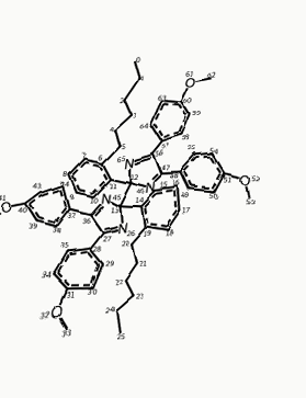 CCCCCCc1ccccc1C1(C2(c3ccccc3CCCCCC)N=C(c3ccc(OC)cc3)C(c3ccc(OC)cc3)=N2)N=C(c2ccc(OC)cc2)C(c2ccc(OC)cc2)=N1